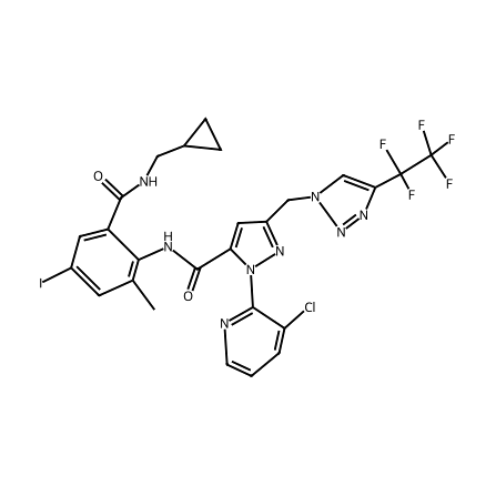 Cc1cc(I)cc(C(=O)NCC2CC2)c1NC(=O)c1cc(Cn2cc(C(F)(F)C(F)(F)F)nn2)nn1-c1ncccc1Cl